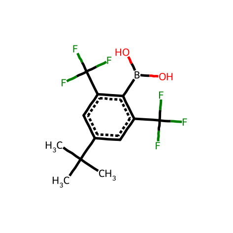 CC(C)(C)c1cc(C(F)(F)F)c(B(O)O)c(C(F)(F)F)c1